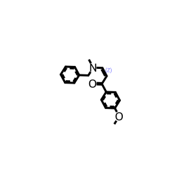 COc1ccc(C(=O)/C=C\N(C)Cc2ccccc2)cc1